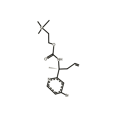 C=CC[C@](C)(NC(=O)OCC[Si](C)(C)C)c1cc(Br)ccn1